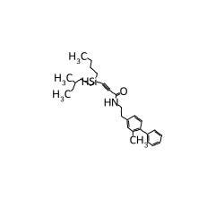 CCCC[SiH](C#CC(=O)NCCc1ccc(-c2ccccc2)c(C)c1)CCC(C)CC